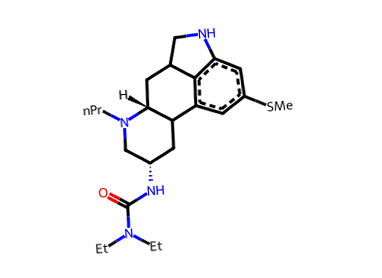 CCCN1C[C@@H](NC(=O)N(CC)CC)CC2c3cc(SC)cc4c3C(CN4)C[C@H]21